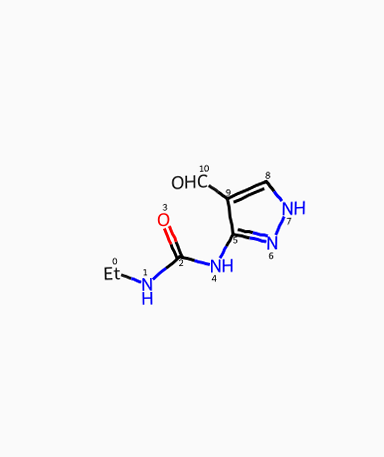 CCNC(=O)Nc1n[nH]cc1C=O